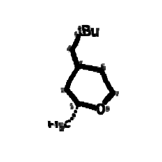 C[C@@H]1CC(CC(C)(C)C)CCO1